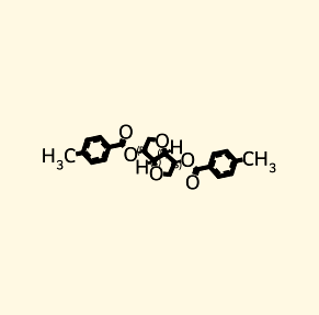 Cc1ccc(C(=O)O[C@H]2CO[C@H]3[C@@H]2OC[C@H]3OC(=O)c2ccc(C)cc2)cc1